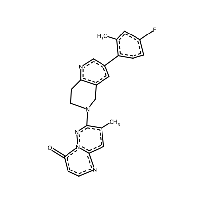 Cc1cc(F)ccc1-c1cnc2c(c1)CN(c1nn3c(=O)ccnc3cc1C)CC2